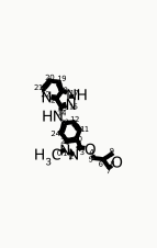 Cn1nc(OCC2COC2)c2ccc(Nc3n[nH]c4cccnc34)cc21